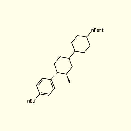 CCCCCC1CCC(C2CC[C@@H](c3ccc(CCCC)cc3)[C@H](C)C2)CC1